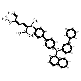 C=C/C(=C\C=C(/C(C)C)N(C)c1ccc(-c2ccc(N(c3cccc(-c4ccccc4)c3)c3cccc4ccccc34)cc2)cc1)OC